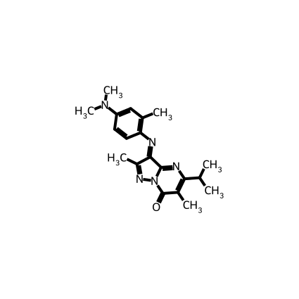 CC1=Nn2c(nc(C(C)C)c(C)c2=O)C1=Nc1ccc(N(C)C)cc1C